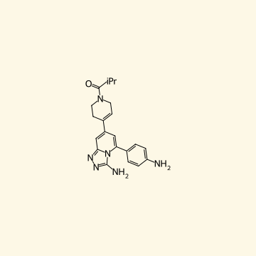 CC(C)C(=O)N1CC=C(c2cc(-c3ccc(N)cc3)n3c(N)nnc3c2)CC1